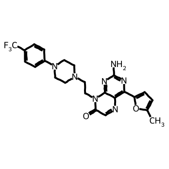 Cc1ccc(-c2nc(N)nc3c2ncc(=O)n3CCN2CCN(c3ccc(C(F)(F)F)cc3)CC2)o1